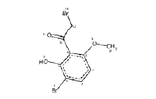 COc1ccc(Br)c(O)c1C(=O)CBr